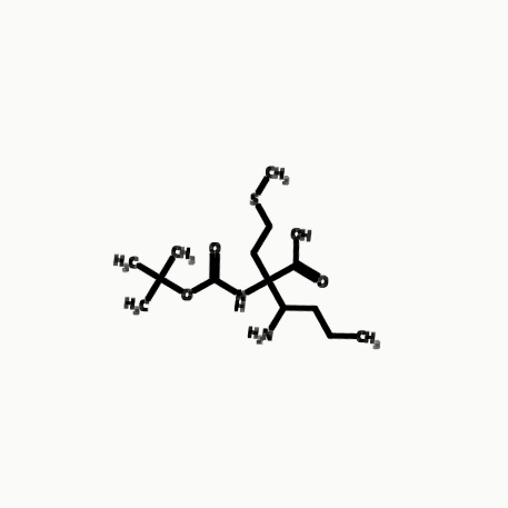 CCCC(N)C(CCSC)(NC(=O)OC(C)(C)C)C(=O)O